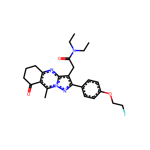 CCN(CC)C(=O)Cc1c(-c2ccc(OCCF)cc2)nn2c(C)c3c(nc12)CCCC3=O